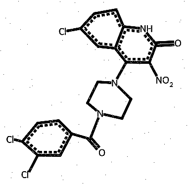 O=C(c1ccc(Cl)c(Cl)c1)N1CCN(c2c([N+](=O)[O-])c(=O)[nH]c3ccc(Cl)cc23)CC1